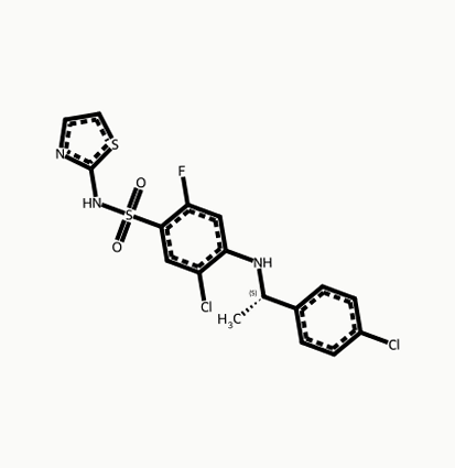 C[C@H](Nc1cc(F)c(S(=O)(=O)Nc2nccs2)cc1Cl)c1ccc(Cl)cc1